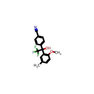 COc1ccc(C)cc1C(O)(c1ccc(C#N)cc1)C(F)(F)F